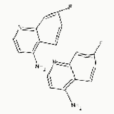 Nc1ccnc2cc(F)ccc12.Nc1ccnc2cc(F)ccc12